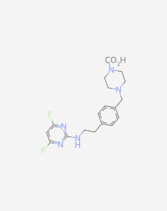 O=C(O)N1CCN(Cc2ccc(CCNc3nc(F)cc(F)n3)cc2)CC1